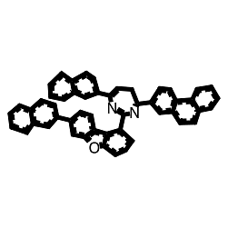 C1=C(c2ccc3ccccc3c2)N=C(c2cccc3oc4cc(-c5ccc6ccccc6c5)ccc4c23)N=C(c2ccc3c(ccc4ccccc43)c2)C1